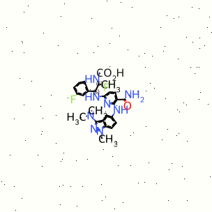 C[C@H](NC(=O)O)[C@@H](Nc1nc(Nc2ccc3c(c2)c(N(C)C)nn3C)c(C(N)=O)cc1F)c1cccc(F)c1